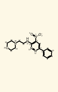 O=[N+]([O-])c1cc(-c2ccccc2)nnc1NCCN1CCOCC1